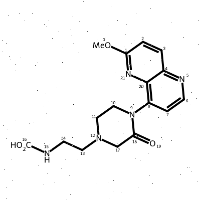 COc1ccc2nccc(N3CCN(CCNC(=O)O)CC3=O)c2n1